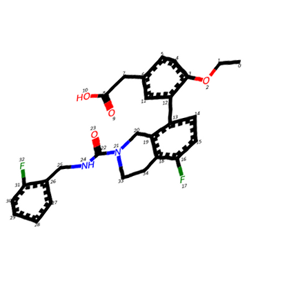 CCOc1ccc(CC(=O)O)cc1-c1ccc(F)c2c1CN(C(=O)NCc1ccccc1F)CC2